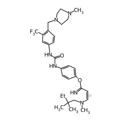 CCC(C)(C)CN(C)/C=C\C(=N)Oc1ccc(NC(=O)Nc2ccc(CN3CCN(C)CC3)c(C(F)(F)F)c2)cc1